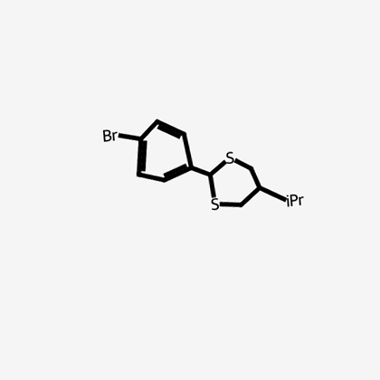 CC(C)C1CSC(c2ccc(Br)cc2)SC1